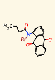 CCCC(=O)N(Br)c1cccc2c1C(=O)c1ccccc1C2=O